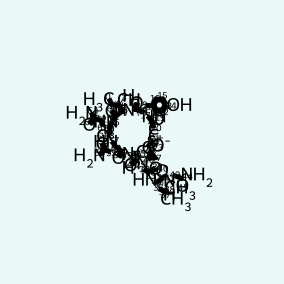 CC[C@H](C)[C@@H]1NC(=O)[C@H](Cc2ccc(O)cc2)NC(=O)CC[S+]([O-])CC[C@@H](C(=O)N(CC(=O)N[C@@H](CC(C)C)C(=O)NCC(N)=O)C2CC2)NC(=O)[C@H](CC(N)=O)NC(=O)[C@H](CCC(N)=O)NC1=O